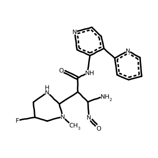 CN1CC(F)CNC1C(C(=O)Nc1cnccc1-c1ccccn1)C(N)N=O